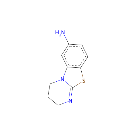 Nc1ccc2c(c1)N1CCCN=C1S2